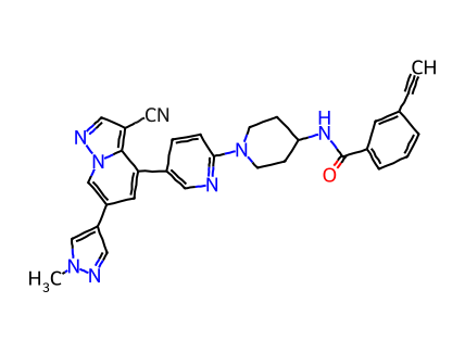 C#Cc1cccc(C(=O)NC2CCN(c3ccc(-c4cc(-c5cnn(C)c5)cn5ncc(C#N)c45)cn3)CC2)c1